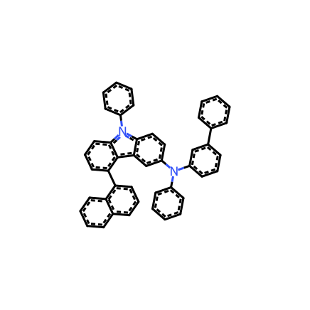 c1ccc(-c2cccc(N(c3ccccc3)c3ccc4c(c3)c3c(-c5cccc6ccccc56)cccc3n4-c3ccccc3)c2)cc1